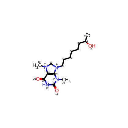 CCC(O)CCCCCCN1CN(C)c2c1n(C)c(=O)[nH]c2=O